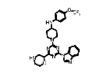 FC(F)(F)Oc1ccc(NC2CCN(c3nc(C4CNCCO4)nc(-n4cnc5ccccc54)n3)CC2)cc1